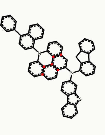 c1ccc(-c2ccccc2N(c2ccccc2-c2cccc(N(c3ccc4c(c3)sc3ccccc34)c3cccc4c3Cc3ccccc3-4)c2)c2ccc(-c3ccccc3)c3ccccc23)cc1